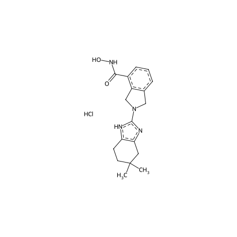 CC1(C)CCc2[nH]c(N3Cc4cccc(C(=O)NO)c4C3)nc2C1.Cl